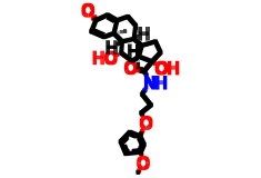 COc1cccc(OCCCNC(=O)[C@@]2(O)CC[C@H]3[C@@H]4CCC5=CC(=O)C=C[C@]5(C)[C@H]4[C@@H](O)C[C@@]32C)c1